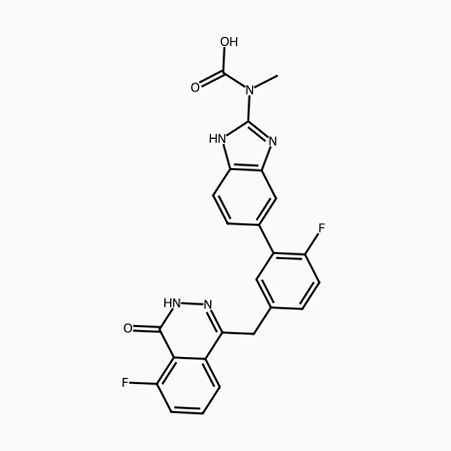 CN(C(=O)O)c1nc2cc(-c3cc(Cc4n[nH]c(=O)c5c(F)cccc45)ccc3F)ccc2[nH]1